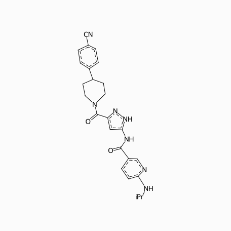 CC(C)Nc1ccc(C(=O)Nc2cc(C(=O)N3CCC(c4ccc(C#N)cc4)CC3)n[nH]2)cn1